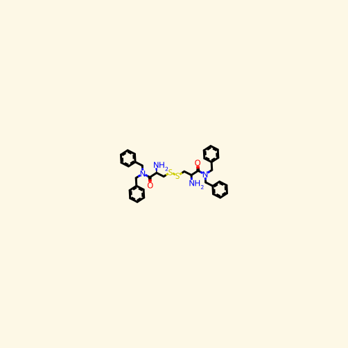 NC(CSSC[C@H](N)C(=O)N(Cc1ccccc1)Cc1ccccc1)C(=O)N(Cc1ccccc1)Cc1ccccc1